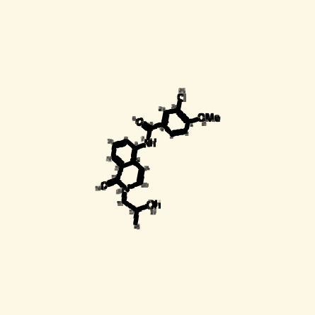 COc1ccc(C(=O)Nc2cccc3c(=O)n(CC(C)O)ccc23)cc1Cl